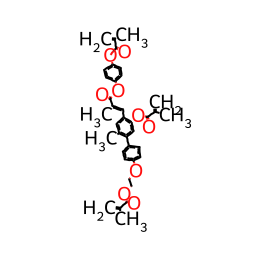 C=C(C)C(=O)OCCOc1ccc(-c2cc(OC(=O)C(=C)C)c(/C=C(\C)C(=O)Oc3ccc(OC(=O)C(=C)C)cc3)cc2C)cc1